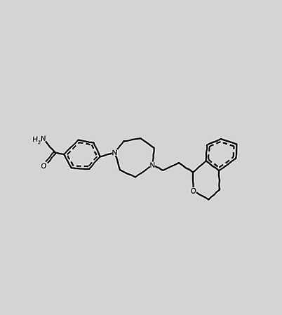 NC(=O)c1ccc(N2CCCN(CCC3OCCc4ccccc43)CC2)cc1